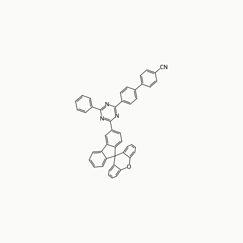 N#Cc1ccc(-c2ccc(-c3nc(-c4ccccc4)nc(-c4ccc5c(c4)-c4ccccc4C54c5ccccc5Oc5ccccc54)n3)cc2)cc1